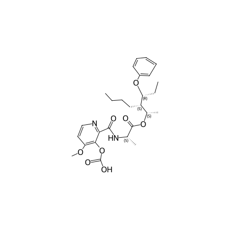 CCCC[C@@H]([C@H](C)OC(=O)[C@H](C)NC(=O)c1nccc(OC)c1OC(=O)O)[C@@H](CC)Oc1ccccc1